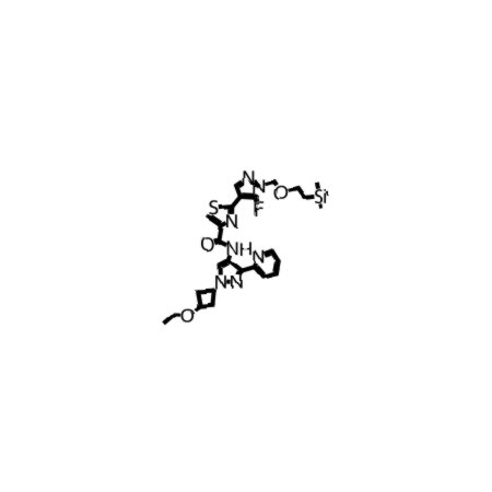 CCOC1CC(n2cc(NC(=O)c3csc(-c4cnn(COCC[Si](C)(C)C)c4F)n3)c(-c3ccccn3)n2)C1